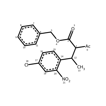 CC(=O)C(C(=O)OCc1ccccc1)C(C)c1ccc(Cl)cc1[N+](=O)[O-]